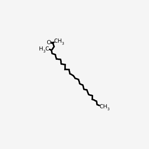 CCCCCCCCCCCCCCCCCCCCCCC(C)CC(C)=O